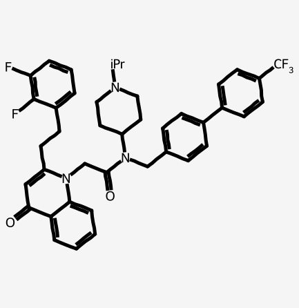 CC(C)N1CCC(N(Cc2ccc(-c3ccc(C(F)(F)F)cc3)cc2)C(=O)Cn2c(CCc3cccc(F)c3F)cc(=O)c3ccccc32)CC1